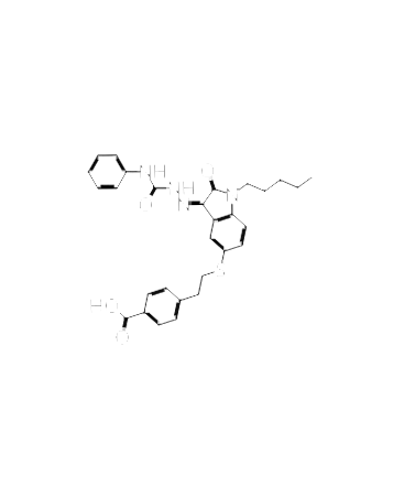 CCCCCN1C(=O)/C(=N\NC(=O)Nc2ccccc2)c2cc(SCCc3ccc(C(=O)O)cc3)ccc21